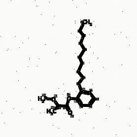 CCCCCCCCCCc1ccccc1OC(=O)C(C)OP